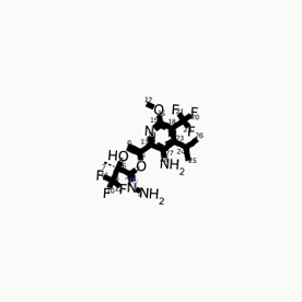 C=C(O/C(=N\N)[C@](C)(O)C(F)(F)F)c1nc(OC)c(C(F)(F)F)c(C(C)C)c1N